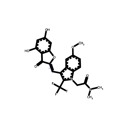 COc1ccc2c(c1)c(/C=C1\Oc3cc(O)cc(O)c3C1=O)c(C(F)(F)F)n2CC(=O)N(C)C